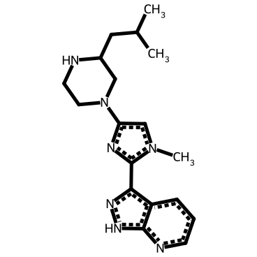 CC(C)CC1CN(c2cn(C)c(-c3n[nH]c4ncccc34)n2)CCN1